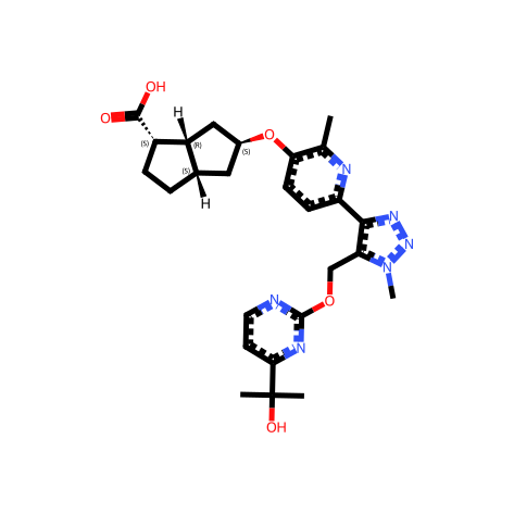 Cc1nc(-c2nnn(C)c2COc2nccc(C(C)(C)O)n2)ccc1O[C@H]1C[C@@H]2CC[C@H](C(=O)O)[C@@H]2C1